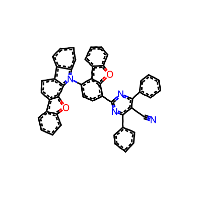 N#Cc1c(-c2ccccc2)nc(-c2ccc(-n3c4ccccc4c4ccc5c6ccccc6oc5c43)c3c2oc2ccccc23)nc1-c1ccccc1